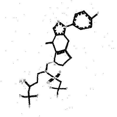 CC1C2=C(CC[C@@H]2CN(CCC(N)C(F)(F)F)S(=O)(=O)CC(F)(F)F)Cc2c1cnn2-c1ccc(F)cc1